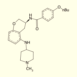 CCCCOc1ccc(C(=O)N[C@@H]2COc3cccc(NC4CCN(C)CC4)c3C2)cc1